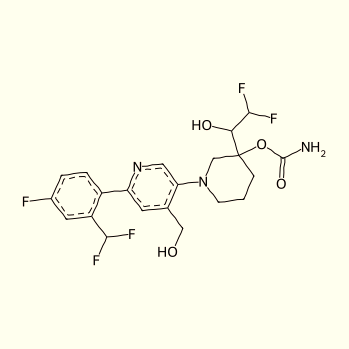 NC(=O)OC1(C(O)C(F)F)CCCN(c2cnc(-c3ccc(F)cc3C(F)F)cc2CO)C1